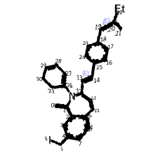 C=C1c2cc(CI)ccc2C=C=C(/C=C/c2ccc(/C=C(\C)CC)cc2)N1C1=CC=CCC1